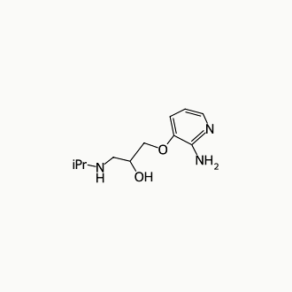 CC(C)NCC(O)COc1cccnc1N